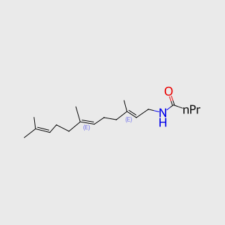 CCCC(=O)NC/C=C(\C)CC/C=C(\C)CCC=C(C)C